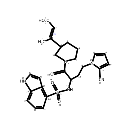 C/C(=C\C(=O)O)C1CCCN(C(=O)C(CCn2cccc2C#N)NS(=O)(=O)c2cccc3[nH]ccc23)C1